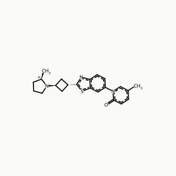 Cc1ccc(=O)n(-c2ccc3nc([C@H]4C[C@H](N5CCC[C@H]5C)C4)sc3c2)c1